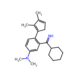 CC1=CCC(c2ccc(N(C)C)cc2C(=N)C2CCCCC2)=C1C